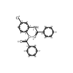 O=C(Nc1cc(Cl)ccc1OC(=O)c1ccccc1)c1ccccc1